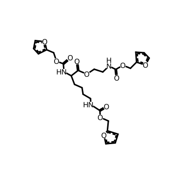 O=C(NCCCCC(NC(=O)OCc1ccco1)C(=O)OCCNC(=O)OCc1ccco1)OCc1ccco1